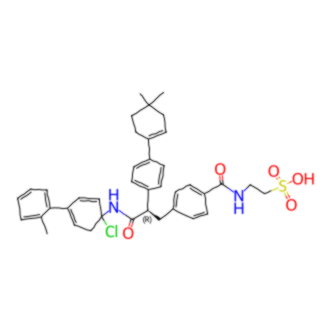 Cc1ccccc1C1=CCC(Cl)(NC(=O)[C@H](Cc2ccc(C(=O)NCCS(=O)(=O)O)cc2)c2ccc(C3=CCC(C)(C)CC3)cc2)C=C1